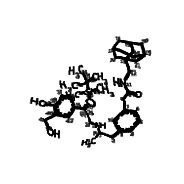 C[C@H](Cc1cccc(CC(=O)NCC23CC4CC(CC(C4)C2)C3)c1)NC[C@H](O[Si](C)(C)C(C)(C)C)c1ccc(O)c(CO)c1